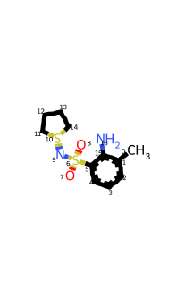 Cc1cccc(S(=O)(=O)N=S2CCCC2)c1N